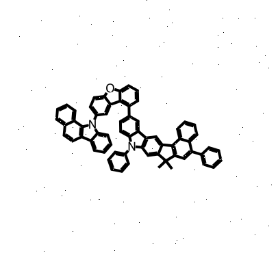 CC1(C)c2cc3c(cc2-c2c1cc(-c1ccccc1)c1ccccc21)c1cc(-c2cccc4oc5ccc(-n6c7ccccc7c7ccc8ccccc8c76)cc5c24)ccc1n3-c1ccccc1